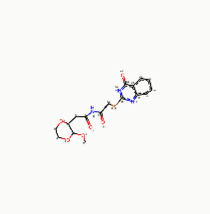 COC1OCCOC1CC(=O)NC(=O)CSc1nc2ccccc2c(=O)[nH]1